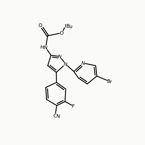 CC(C)(C)OC(=O)Nc1cc(-c2ccc(C#N)c(F)c2)n(-c2ccc(Br)cn2)n1